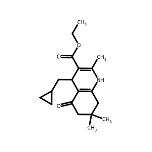 CCOC(=O)C1=C(C)NC2=C(C(=O)CC(C)(C)C2)C1CC1CC1